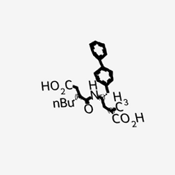 CCCC[C@H](CC(=O)O)C(=O)N[C@H](Cc1ccc(-c2ccccc2)cc1)C[C@@H](C)C(=O)O